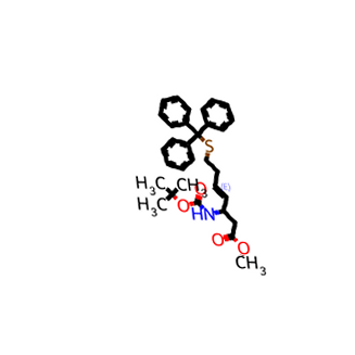 COC(=O)CC(/C=C/CCSC(c1ccccc1)(c1ccccc1)c1ccccc1)NC(=O)OC(C)(C)C